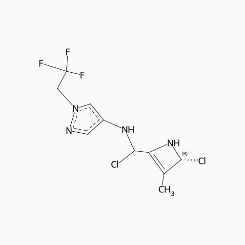 CC1=C(C(Cl)Nc2cnn(CC(F)(F)F)c2)N[C@@H]1Cl